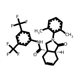 Cc1cccc(C)c1N1C[C@]2(C(=O)Nc3cc(C(F)(F)F)cc(C(F)(F)F)c3)CC=CC[C@@H]2C1=O